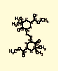 COC(=O)C1CN(CCN2CC(C(=O)OC)CC(C)(C)C2=O)C(=O)C(C)(C)C1